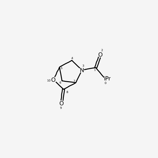 [CH2]C(C)C(=O)N1CC2CC1C(=O)O2